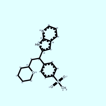 CS(=O)(=O)c1ccc(C(CC2CCCCO2)c2cc3cccnc3[nH]2)cc1